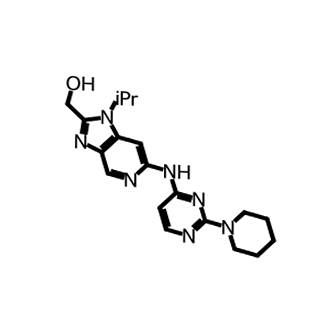 CC(C)n1c(CO)nc2cnc(Nc3ccnc(N4CCCCC4)n3)cc21